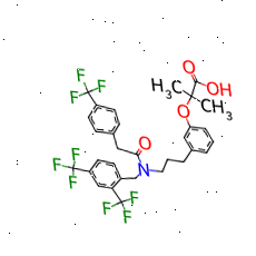 CC(C)(Oc1cccc(CCCN(Cc2ccc(C(F)(F)F)cc2C(F)(F)F)C(=O)Cc2ccc(C(F)(F)F)cc2)c1)C(=O)O